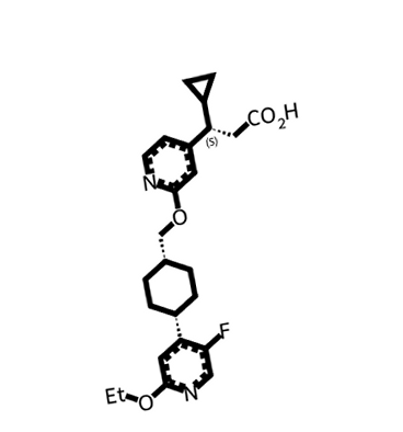 CCOc1cc([C@H]2CC[C@@H](COc3cc([C@@H](CC(=O)O)C4CC4)ccn3)CC2)c(F)cn1